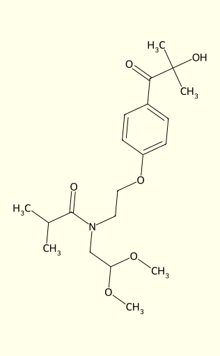 COC(CN(CCOc1ccc(C(=O)C(C)(C)O)cc1)C(=O)C(C)C)OC